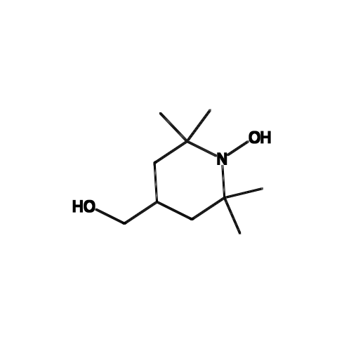 CC1(C)CC(CO)CC(C)(C)N1O